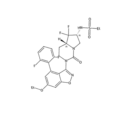 CCOc1cc(-c2c(F)cccc2F)c2c(N3CC[C@H]4N(C[C@@H](NS(=O)(=O)CC)C4(F)F)C3=O)noc2c1